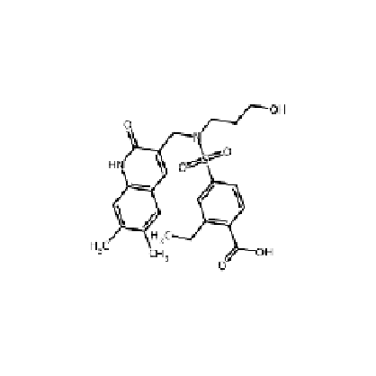 CCc1cc(S(=O)(=O)N(CCCO)Cc2cc3cc(C)c(C)cc3[nH]c2=O)ccc1C(=O)O